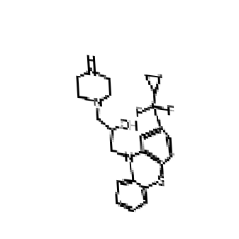 OC(CN1CCNCC1)CN1c2ccccc2Sc2ccc(C(F)(F)C3CC3)cc21